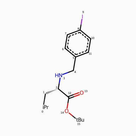 CC(C)C[C@H](NCc1ccc(I)cc1)C(=O)OC(C)(C)C